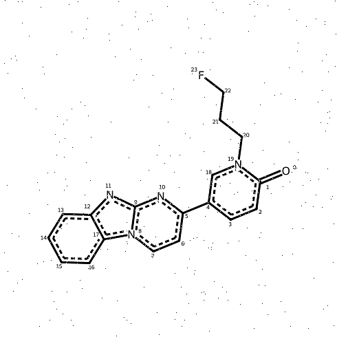 O=c1ccc(-c2ccn3c(n2)nc2ccccc23)cn1CCCF